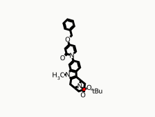 Cn1c2c(c3ccc(-n4ccc(OCc5ccccc5)cc4=O)cc31)C1CCCC(C2)N1C(=O)OC(C)(C)C